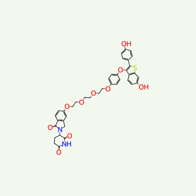 O=C1CCC(N2Cc3cc(OCCOCCOCCOc4ccc(Oc5c(-c6ccc(O)cc6)sc6cc(O)ccc56)cc4)ccc3C2=O)C(=O)N1